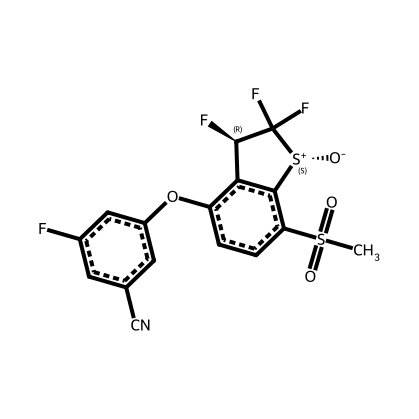 CS(=O)(=O)c1ccc(Oc2cc(F)cc(C#N)c2)c2c1[S@@+]([O-])C(F)(F)[C@@H]2F